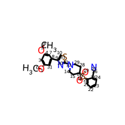 COc1cc(OC)cc(-c2csc(N3CCC(S(=O)(=O)c4ccccc4C#N)CC3)n2)c1